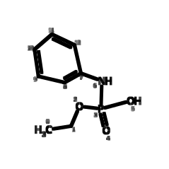 CCOP(=O)(O)Nc1ccccc1